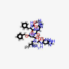 CC[C@H](C)[C@@H](C(=O)NC(Cc1c[nH]cn1)C(N)=O)N(C[C@@H](N)CC(C)C)C(=O)[C@H](CCOCc1ccccc1)NC(=O)C(Cc1c[nH]cn1)NC(=O)[C@@H](Cc1ccccc1)NC(=O)OC(C)(C)C